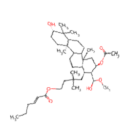 CCC/C=C/C(=O)OCCC(C)(C)C[C@@H]1C([C@H](O)OC)[C@H](OC(C)=O)C[C@@]2(C)C3CCC4C(C)(C)[C@@H](O)CC[C@]4(C)C3CCC12